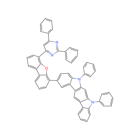 c1ccc(-c2cc(-c3cccc4c3oc3c(-c5ccc6c(c5)c5cc7c8ccccc8n(-c8ccccc8)c7cc5n6-c5ccccc5)cccc34)nc(-c3ccccc3)n2)cc1